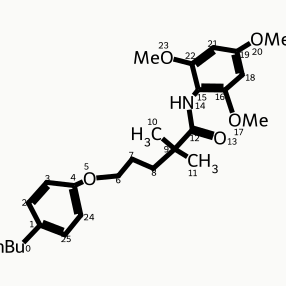 CCCCc1ccc(OCCCC(C)(C)C(=O)Nc2c(OC)cc(OC)cc2OC)cc1